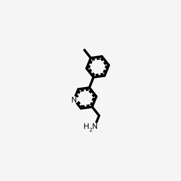 Cc1cccc(-c2cncc(CN)c2)c1